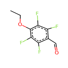 CCOc1c(F)c(F)c(C=O)c(F)c1F